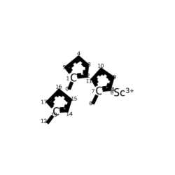 C[c-]1cccc1.C[c-]1cccc1.C[c-]1cccc1.[Sc+3]